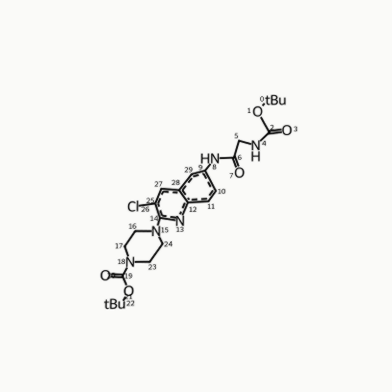 CC(C)(C)OC(=O)NCC(=O)Nc1ccc2nc(N3CCN(C(=O)OC(C)(C)C)CC3)c(Cl)cc2c1